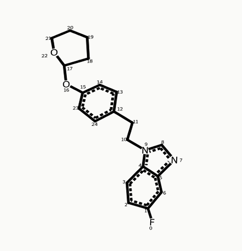 Fc1ccc2c(c1)ncn2CCc1ccc(OC2CCCCO2)cc1